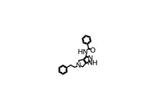 O=C(Nc1n[nH]c2c1CN(CCc1ccccc1)C2)c1ccccc1